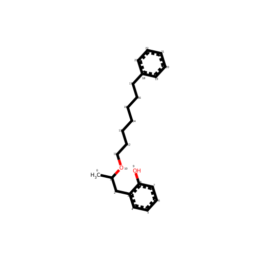 CC(Cc1ccccc1O)OCCCCCCCc1ccccc1